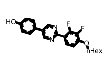 CCCCCCOc1ccc(-c2ncc(-c3ccc(O)cc3)cn2)c(F)c1F